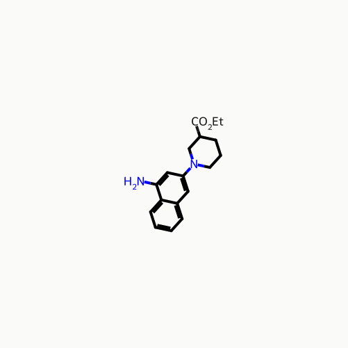 CCOC(=O)C1CCCN(c2cc(N)c3ccccc3c2)C1